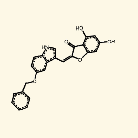 O=C1C(=Cc2c[nH]c3ccc(OCc4ccccc4)cc23)Oc2cc(O)cc(O)c21